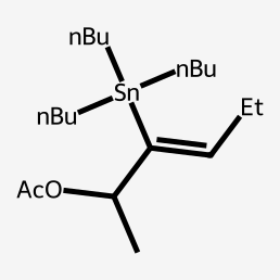 CC/C=[C](/C(C)OC(C)=O)[Sn]([CH2]CCC)([CH2]CCC)[CH2]CCC